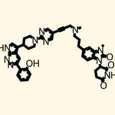 CN(CC#Cc1cnc(N2CCC(c3c[nH]c4nnc(-c5ccccc5O)cc34)CC2)nc1)CCCc1ccc2c(c1)n(C)c(=O)n2C1CCC(=O)NC1=O